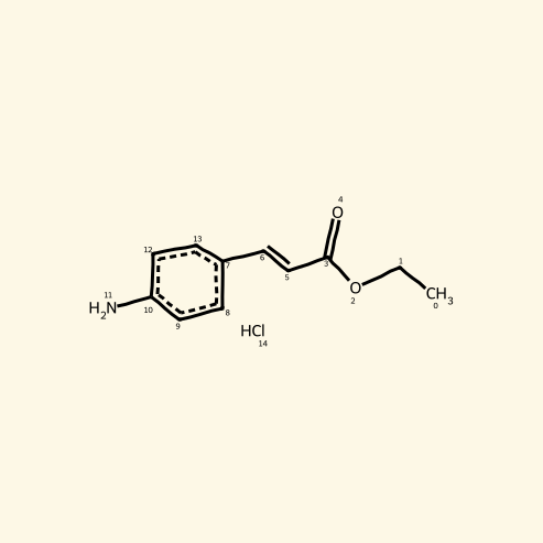 CCOC(=O)/C=C/c1ccc(N)cc1.Cl